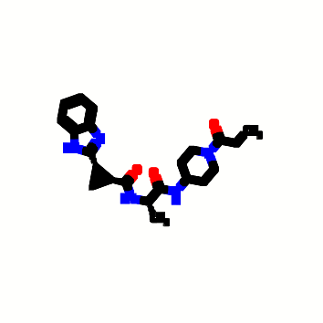 CCC(=O)N1CCC(NC(=O)[C@H](C)NC(=O)[C@H]2C[C@@H]2c2nc3ccccc3[nH]2)CC1